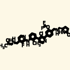 Cc1c(Nc2nccc(CNC[C@@H](C)O)c2F)cccc1-c1ccnc(-c2ccc(CNC[C@H]3CCC(=O)N3)c(OC(F)F)c2)c1Cl